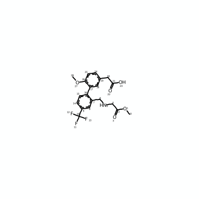 COC(=O)CNCc1cc(C(F)(F)F)ccc1-c1cc(CC(=O)O)ccc1OC